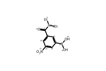 CCN(CC)C(=O)c1cc(B(O)O)cc([N+](=O)[O-])c1